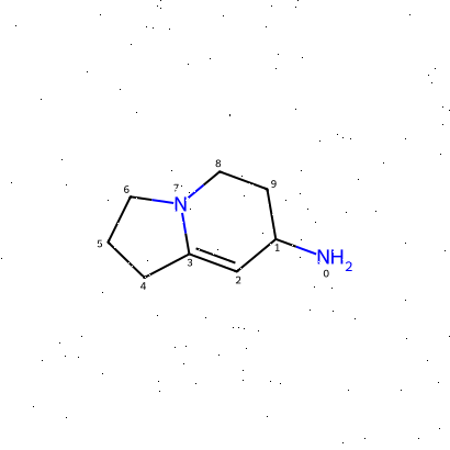 NC1C=C2CCCN2CC1